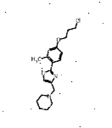 Cc1cc(OCCCCl)ccc1-c1nc(CN2CCCCC2)co1